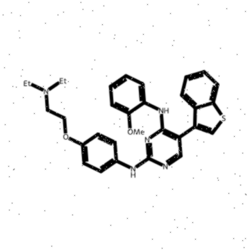 CCN(CC)CCOc1ccc(Nc2ncc(-c3csc4ccccc34)c(Nc3ccccc3OC)n2)cc1